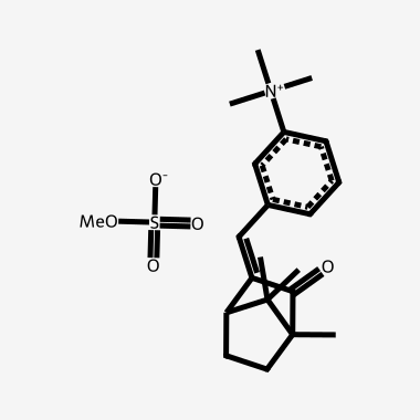 CC12CCC(C(=Cc3cccc([N+](C)(C)C)c3)C1=O)C2(C)C.COS(=O)(=O)[O-]